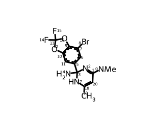 CNC1=NC(N)(c2cc(Br)c3c(c2)OC(F)(F)O3)NC(C)=C1